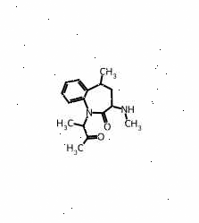 CNC1CC(C)c2ccccc2N(C(C)C(C)=O)C1=O